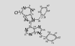 Clc1ncnc2c1nc(-c1ncnc3c1ncn3Cc1ccccc1)n2Cc1ccccc1